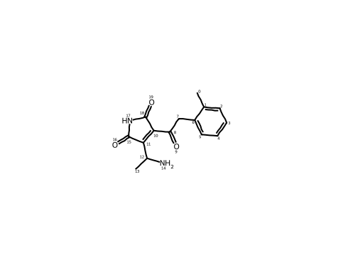 Cc1ccccc1CC(=O)C1=C(C(C)N)C(=O)NC1=O